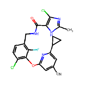 Cc1nc(Cl)c(C(=O)NCc2ccc(Cl)c(Oc3cc(C#N)cc(C4CC4)n3)c2F)[nH]1